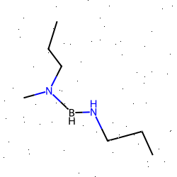 CCCNBN(C)CCC